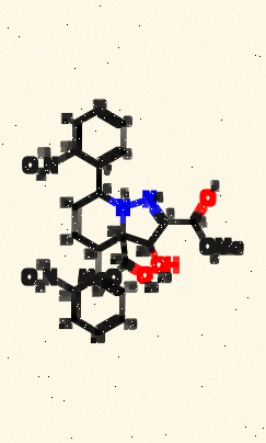 COC(=O)C1=NN2C(c3ccccc3[N+](=O)[O-])C=CC(c3ccccc3[N+](=O)[O-])C2(C(=O)OC)C1O